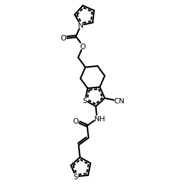 N#Cc1c(NC(=O)C=Cc2ccsc2)sc2c1CCC(COC(=O)n1cccc1)C2